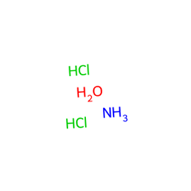 Cl.Cl.N.O